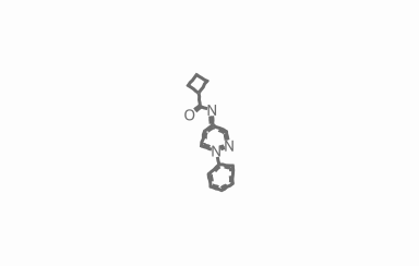 O=C(/N=c1\ccn(-c2ccccc2)nc1)C1CCC1